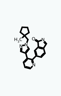 CC1(Cn2cc(-c3cccnc3-c3ccc4c(c3)C(=O)N=C4)cn2)CCCC1